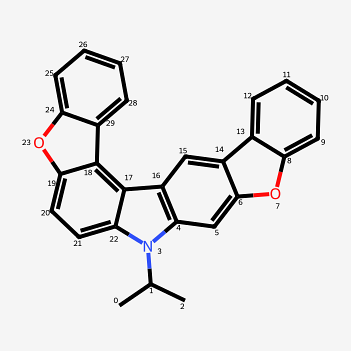 CC(C)n1c2cc3oc4ccccc4c3cc2c2c3c(ccc21)oc1ccccc13